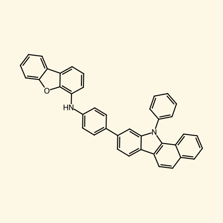 c1ccc(-n2c3cc(-c4ccc(Nc5cccc6c5oc5ccccc56)cc4)ccc3c3ccc4ccccc4c32)cc1